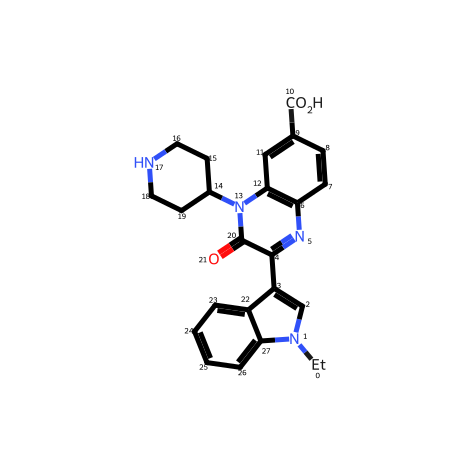 CCn1cc(-c2nc3ccc(C(=O)O)cc3n(C3CCNCC3)c2=O)c2ccccc21